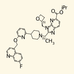 CC(C)OC(=O)c1ccc2nc([C@H](C)N3CCC(c4cccc(OCc5ccnc6cc(F)ccc56)n4)CC3)n(C[C@@H]3CCO3)c2n1